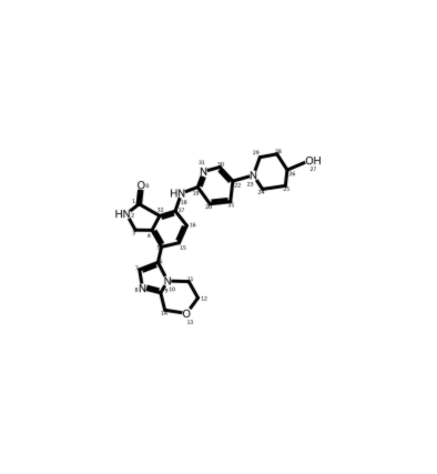 O=C1NCc2c(-c3cnc4n3CCOC4)ccc(Nc3ccc(N4CCC(O)CC4)cn3)c21